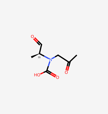 CC(=O)CN(C(=O)O)[C@@H](C)C=O